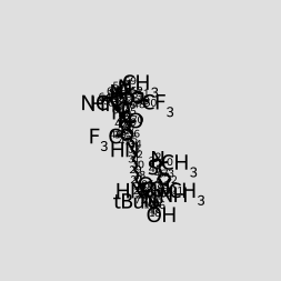 Cc1ncsc1-c1ccc([C@H](C)NC(=O)[C@@H]2C[C@@H](O)CN2C(=O)[C@@H](NC(=O)CCCCCCNCc2cc3c(c(C(F)(F)F)c2)CN(c2cc(-c4cc(C(F)(F)F)ccc4-c4nncn4C)cc(NC4(CC#N)CC4)n2)C3=O)C(C)(C)C)cc1